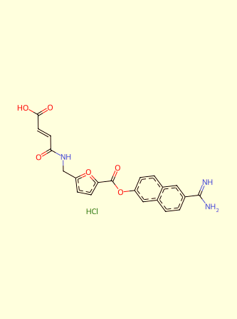 Cl.N=C(N)c1ccc2cc(OC(=O)c3ccc(CNC(=O)/C=C/C(=O)O)o3)ccc2c1